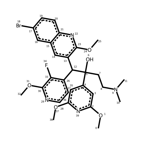 COc1cc(C(O)(CCN(C)C)C(c2cc3cc(Br)ccc3nc2OC)c2ccnc(OC)c2F)cc(OC)n1